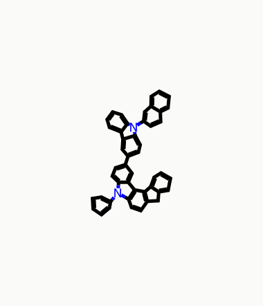 c1ccc(-n2c3ccc(-c4ccc5c(c4)c4ccccc4n5-c4ccc5ccccc5c4)cc3c3c4c(ccc32)Cc2ccccc2-4)cc1